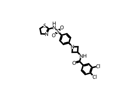 O=C(NC1CN(c2ccc(S(=O)(=O)NC3=NCCS3)cc2)C1)c1ccc(Cl)c(Cl)c1